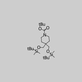 CC(C)(C)OC(=O)N1CCC(CO[Si](C)(C)C(C)(C)C)(CO[Si](C)(C)C(C)(C)C)CC1